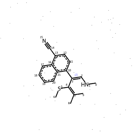 CN/C=C(\C(SC)=C(C)C)c1ccc(C#N)c2ccccc12